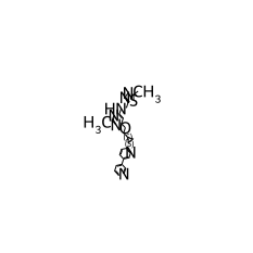 Cc1nc(NCc2nnc(C)s2)cc(OC[C@H]2C[C@@H]2c2ccc(-c3cccnc3)cn2)n1